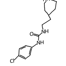 O=C(NCCC1CCNCC1)Nc1ccc(Cl)cc1